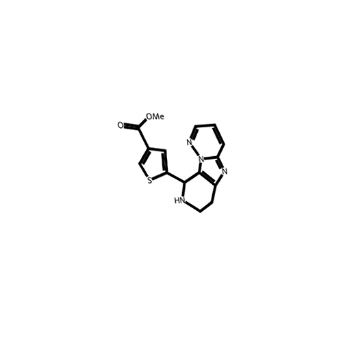 COC(=O)c1csc(C2NCCc3nc4cccnn4c32)c1